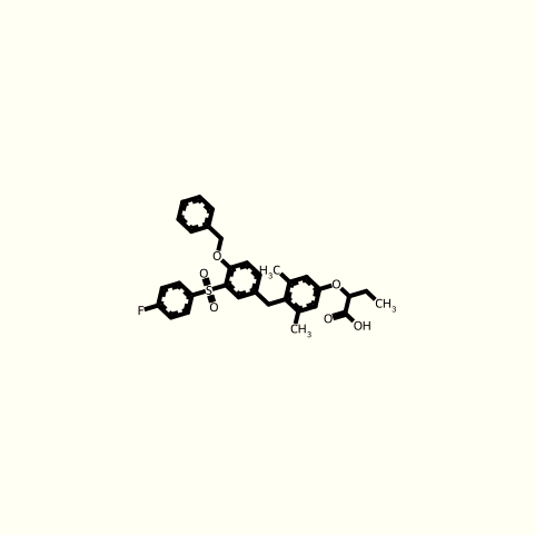 CCC(Oc1cc(C)c(Cc2ccc(OCc3ccccc3)c(S(=O)(=O)c3ccc(F)cc3)c2)c(C)c1)C(=O)O